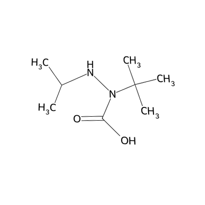 CC(C)NN(C(=O)O)C(C)(C)C